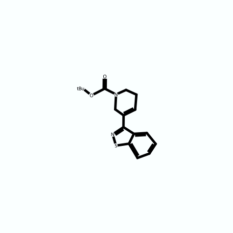 CC(C)(C)OC(=O)N1CCC=C(c2nsc3ccccc23)C1